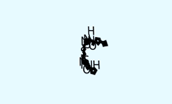 O=C(Nc1nnc(CCSCCc2nnc(NC(=O)C3CCC(C4CCC4)C3)s2)s1)C1CCCC1